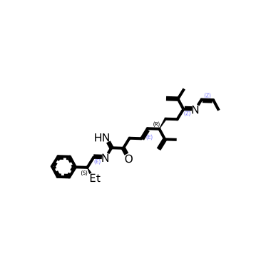 C=C(C)/C(CC[C@H](/C=C/CC(=O)C(=N)/N=C/[C@@H](CC)c1ccccc1)C(=C)C)=N\C=C/C